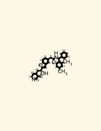 Cc1ccc(C(NC(=O)Cc2ccc3oc(C(O)Cc4ccncc4F)cc3c2)c2ccccc2)c(C)c1